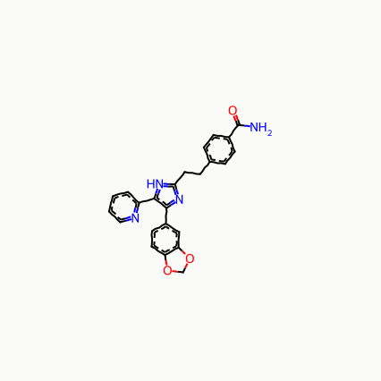 NC(=O)c1ccc(CCc2nc(-c3ccc4c(c3)OCO4)c(-c3ccccn3)[nH]2)cc1